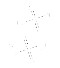 O=S(=O)(O)O.O=S(=O)(O)O.[Pd]